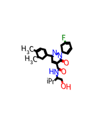 CC1=CC=C(c2cc(C(=O)NC(CO)C(C)C)c(=O)n(C3C=CC=C(F)C3)n2)CC1C